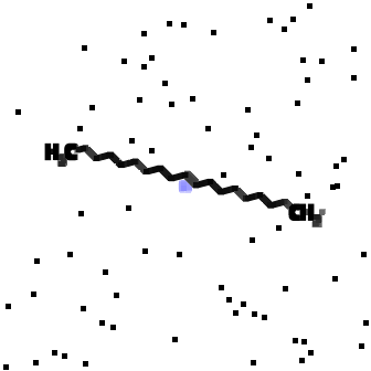 [CH2]CCCCCCC/C=C/CCCCCCCCC